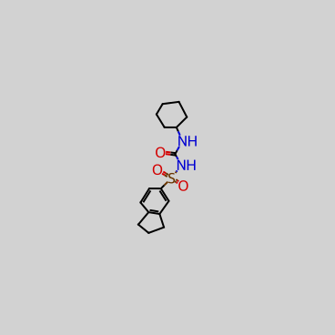 O=C(NC1CCCCC1)NS(=O)(=O)c1ccc2c(c1)CCC2